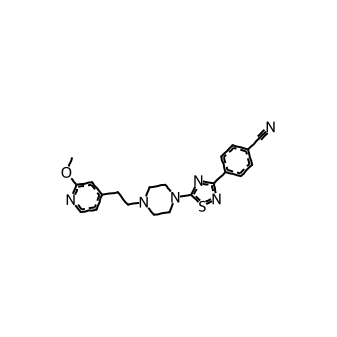 COc1cc(CCN2CCN(c3nc(-c4ccc(C#N)cc4)ns3)CC2)ccn1